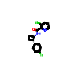 O=C(N[C@H]1CC[C@H]1c1ccc(Cl)cc1)c1ncccc1Cl